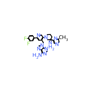 Cc1cncc([C@@]2(N)CCCN(c3cnc(-c4ccc(F)c(F)c4)cc3Cn3cnc4c(N)ncnc43)C2)n1